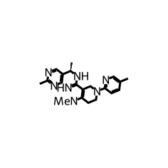 CNC1=C(C(=N)N[C@H](C)c2cnc(C)nc2)CN(c2ccc(C)cn2)CC1